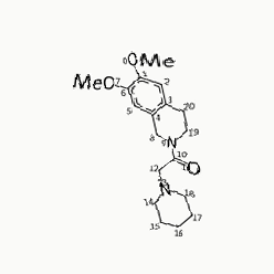 COc1cc2c(cc1OC)CN(C(=O)CN1CCCCC1)CC2